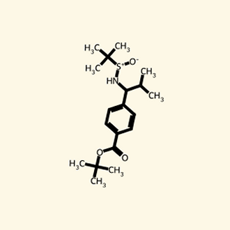 CC(C)C(N[S+]([O-])C(C)(C)C)c1ccc(C(=O)OC(C)(C)C)cc1